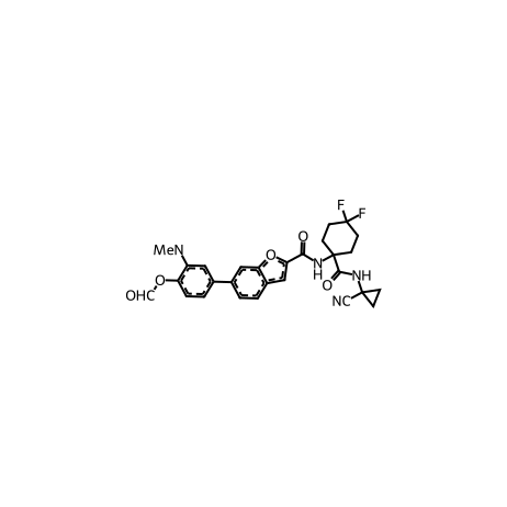 CNc1cc(-c2ccc3cc(C(=O)NC4(C(=O)NC5(C#N)CC5)CCC(F)(F)CC4)oc3c2)ccc1OC=O